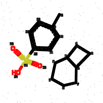 C1CCC2CCC2C1.Cc1ccc(S(=O)(=O)O)cc1